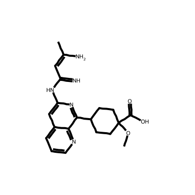 COC1(C(=O)O)CCC(c2nc(NC(=N)/C=C(/C)N)cc3cccnc23)CC1